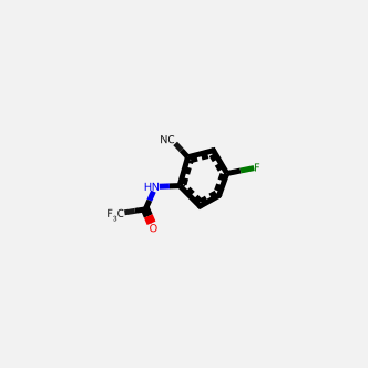 N#Cc1cc(F)ccc1NC(=O)C(F)(F)F